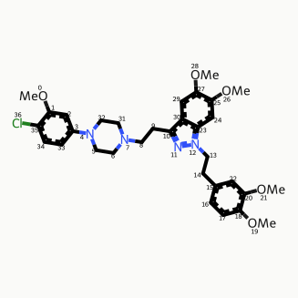 COc1cc(N2CCN(CCc3nn(CCc4ccc(OC)c(OC)c4)c4cc(OC)c(OC)cc34)CC2)ccc1Cl